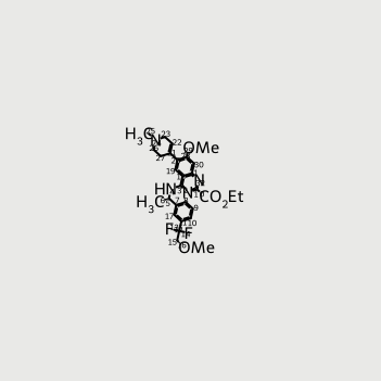 CCOC(=O)c1nc(N[C@H](C)c2cccc(C(F)(F)COC)c2)c2cc(C3=CCN(C)CC3)c(OC)cc2n1